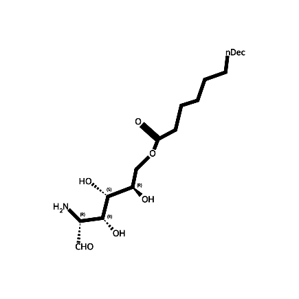 CCCCCCCCCCCCCCCC(=O)OC[C@@H](O)[C@@H](O)[C@H](O)[C@@H](N)C=O